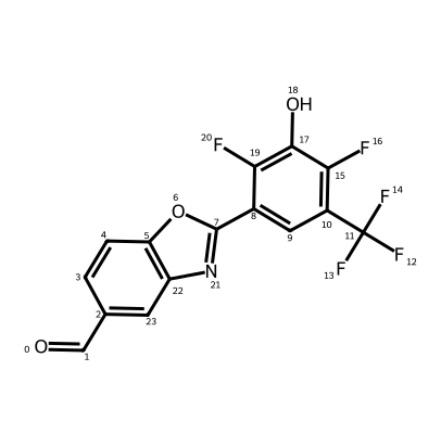 O=Cc1ccc2oc(-c3cc(C(F)(F)F)c(F)c(O)c3F)nc2c1